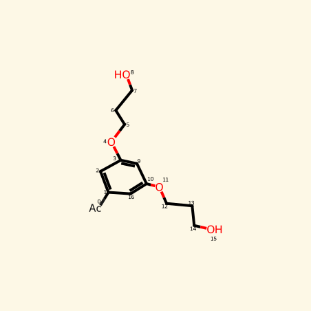 CC(=O)c1cc(OCCCO)cc(OCCCO)c1